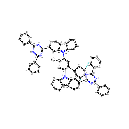 Fc1cc(F)cc(-c2cc(-n3c4ccccc4c4ccc(-c5nc(-c6ccccc6)nc(-c6ccccc6)n5)cc43)c(C(F)(F)F)cc2-n2c3ccccc3c3ccc(-c4nc(-c5ccccc5)nc(-c5ccccc5)n4)cc32)c1